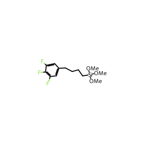 CO[Si](CCCCc1cc(F)c(F)c(F)c1)(OC)OC